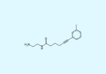 [CH2]c1cccc(C#CCCCC(=O)NCCN)c1